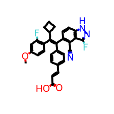 COc1ccc(/C(=C(\c2ccc(/C=C/C(=O)O)cc2)c2ccc3[nH]nc(F)c3c2C#N)C2CCC2)c(F)c1